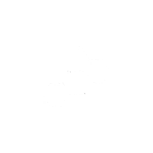 Pc1ccccc1Nc1ccccc1Br